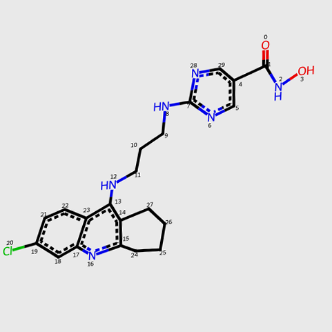 O=C(NO)c1cnc(NCCCNc2c3c(nc4cc(Cl)ccc24)CCCC3)nc1